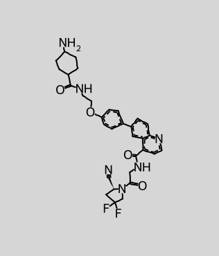 N#C[C@@H]1CC(F)(F)CN1C(=O)CNC(=O)c1ccnc2ccc(-c3ccc(OCCNC(=O)C4CCC(N)CC4)cc3)cc12